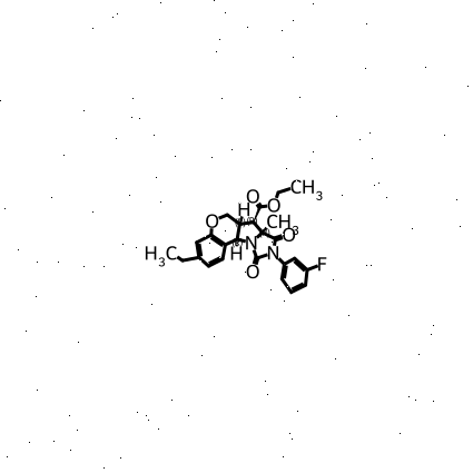 CCOC(=O)[C@@H]1[C@H]2COc3cc(CC)ccc3[C@@H]2N2C(=O)N(c3cccc(F)c3)C(=O)[C@@]12C